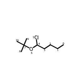 CCCCC(Cl)OC(C)(C)C